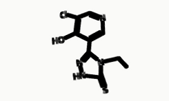 CCn1c(-c2cncc(Cl)c2O)n[nH]c1=S